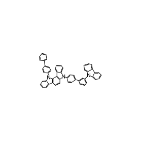 c1ccc(-c2ccc(-n3c4ccccc4c4ccc5c(c6ccccc6n5-c5ccc(-c6cccc(-n7c8ccccc8c8ccccc87)c6)cc5)c43)cc2)cc1